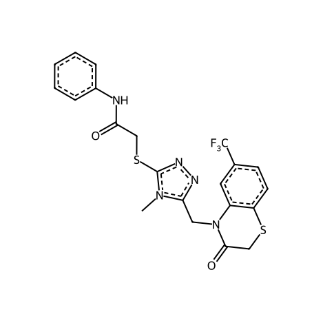 Cn1c(CN2C(=O)CSc3ccc(C(F)(F)F)cc32)nnc1SCC(=O)Nc1ccccc1